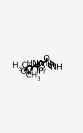 Cc1cc(-c2[nH]c3cc(C(=O)N4CCNCC4)sc3c2C(C)C)cn(C)c1=O